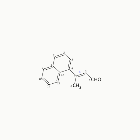 C/C(=C\C=O)c1cccc2ccccc12